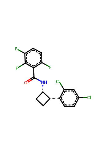 O=C(N[C@H]1CC[C@H]1c1ccc(Cl)cc1Cl)c1c(F)ccc(F)c1F